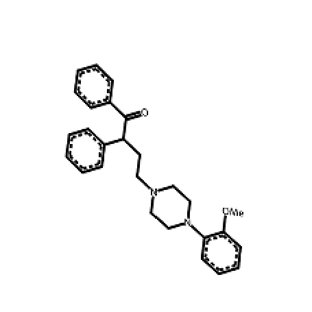 COc1ccccc1N1CCN(CCC(C(=O)c2ccccc2)c2ccccc2)CC1